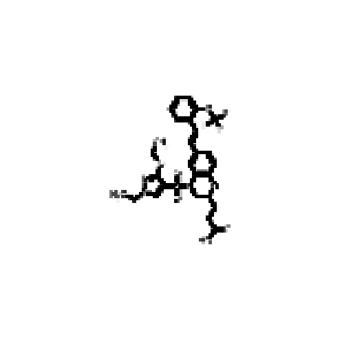 CCOc1nn(CC)cc1S(=O)(=O)N1CC(CCC(=O)O)Oc2ccc(C=Cc3ccccc3OC(F)(F)F)cc21